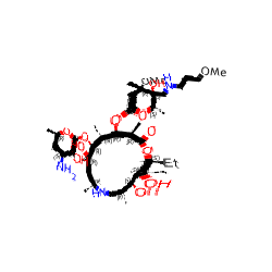 CC[C@@H]1OC(=O)[C@H](C)[C@H](OC2C[C@@](C)(OC)[C@](O)(CNCCCOC)[C@H](C)O2)[C@@H](C)[C@@H](O[C@@H]2O[C@H](C)C[C@H](N)[C@H]2O)[C@](C)(O)C[C@@H](C)NC[C@@H](C)[C@H](O)[C@]1(C)O